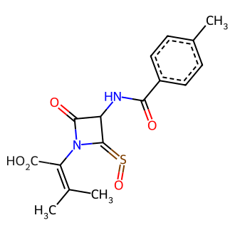 CC(C)=C(C(=O)O)N1C(=O)C(NC(=O)c2ccc(C)cc2)C1=S=O